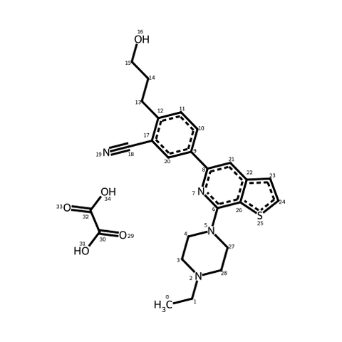 CCN1CCN(c2nc(-c3ccc(CCCO)c(C#N)c3)cc3ccsc23)CC1.O=C(O)C(=O)O